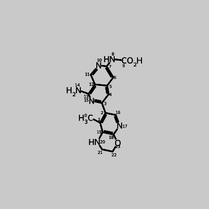 Cc1c(-c2cc3cc(NC(=O)O)ncc3c(N)n2)cnc2c1NCCO2